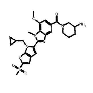 COc1cc(C(=O)N2CCCC(N)C2)cc2nc(-c3cc4cc(S(C)(=O)=O)sc4n3CC3CC3)n(C)c12